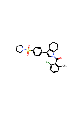 O=C(c1c(Cl)cccc1C(F)(F)F)n1cc(-c2ccc(S(=O)(=O)N3CCCC3)cc2)c2c1CCCC2